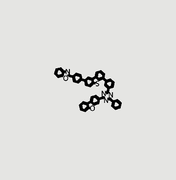 c1ccc(-c2nc(-c3cccc(-c4cccc5c4sc4ccc(-c6ccc(-c7nc8ccccc8o7)cc6)cc45)c3)nc(-c3ccc4c(c3)oc3ccccc34)n2)cc1